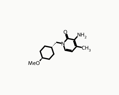 CO[C@H]1CC[C@H](Cn2ccc(C)c(N)c2=O)CC1